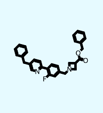 O=C(OCc1ccccc1)C1CN(Cc2ccc(-c3ccc(Cc4ccccc4)cn3)c(F)c2)C1